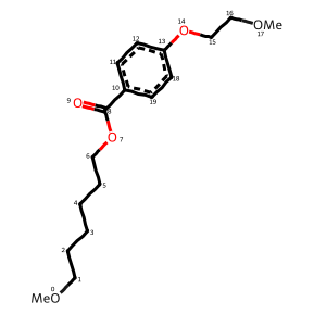 COCCCCCCOC(=O)c1ccc(OCCOC)cc1